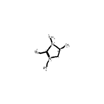 CC(C)N1C[C@H](C)N(C)C1C(C)(C)C